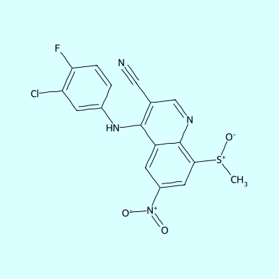 C[S+]([O-])c1cc([N+](=O)[O-])cc2c(Nc3ccc(F)c(Cl)c3)c(C#N)cnc12